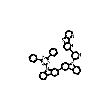 c1ccc(-c2nc(-c3ccccc3)nc(-n3c4ccccc4c4ccc(-c5ccc6c(c5)c5ccccc5n6-c5cncc(-c6ccc7sc8cccnc8c7n6)c5)cc43)n2)cc1